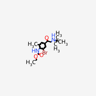 CCOC(=O)Nc1c(C)cc(C(=O)CNC(C)(C)C)cc1Br